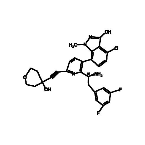 Cn1nc(O)c2c(Cl)ccc(-c3ccc(C#CC4(O)CCOCC4)nc3[C@@H](N)Cc3cc(F)cc(F)c3)c21